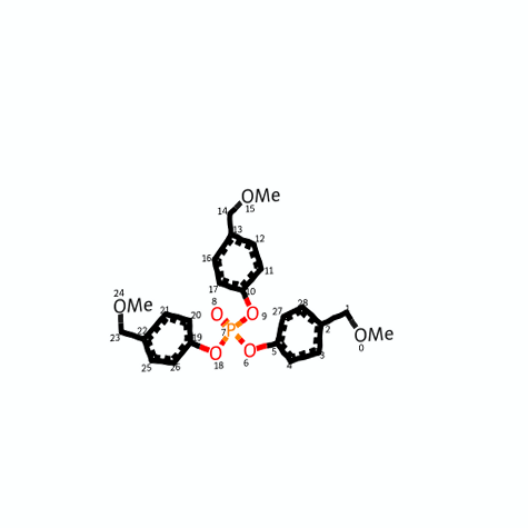 COCc1ccc(OP(=O)(Oc2ccc(COC)cc2)Oc2ccc(COC)cc2)cc1